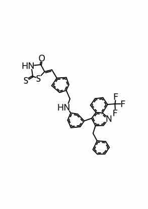 O=C1NC(=S)S/C1=C\c1ccc(CNc2cccc(-c3c(Cc4ccccc4)cnc4c(C(F)(F)F)cccc34)c2)cc1